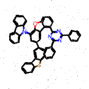 c1ccc(-c2nc(-c3ccccc3)nc(-c3cccc4oc5c(-n6c7ccccc7c7ccccc76)cc(-c6ccc7sc8ccccc8c7c6)cc5c34)n2)cc1